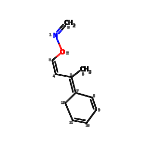 C=NO/C=C\C(C)=C1\C=CC=CC1